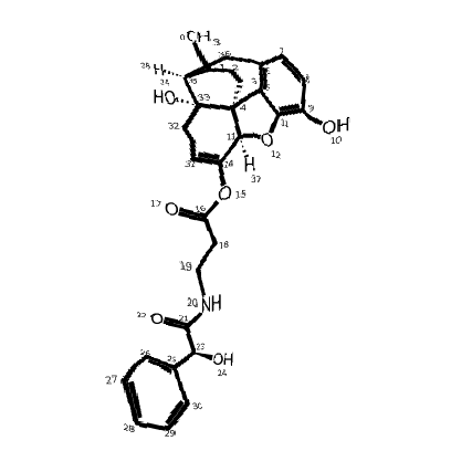 CC1CC[C@]23c4c5ccc(O)c4O[C@H]2C(OC(=O)CCNC(=O)[C@@H](O)c2ccccc2)=CC[C@@]3(O)[C@H]1C5